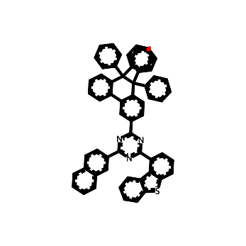 c1ccc(C2(c3ccccc3)c3ccccc3-c3cc(-c4nc(-c5ccc6ccccc6c5)nc(-c5cccc6sc7ccccc7c56)n4)ccc3C2(c2ccccc2)c2ccccc2)cc1